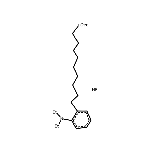 Br.CCCCCCCCCCCCCCCCCCCc1ccccc1N(CC)CC